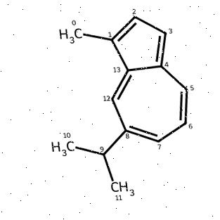 Cc1ccc2[c]ccc(C(C)C)cc1-2